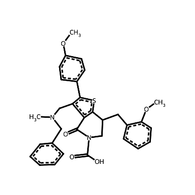 COc1ccc(-c2sc3c(c2CN(C)Cc2ccccc2)C(=O)N(C(=O)O)CC3Cc2ccccc2OC)cc1